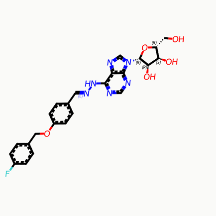 OC[C@H]1O[C@@H](n2cnc3c(N/N=C/c4ccc(OCc5ccc(F)cc5)cc4)ncnc32)[C@H](O)[C@@H]1O